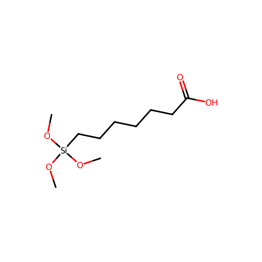 CO[Si](CCCCCCC(=O)O)(OC)OC